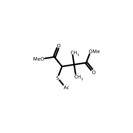 COC(=O)C(SC(C)=O)C(C)(C)C(=O)OC